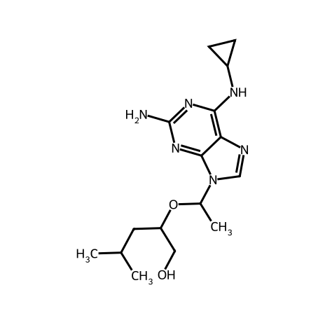 CC(C)CC(CO)OC(C)n1cnc2c(NC3CC3)nc(N)nc21